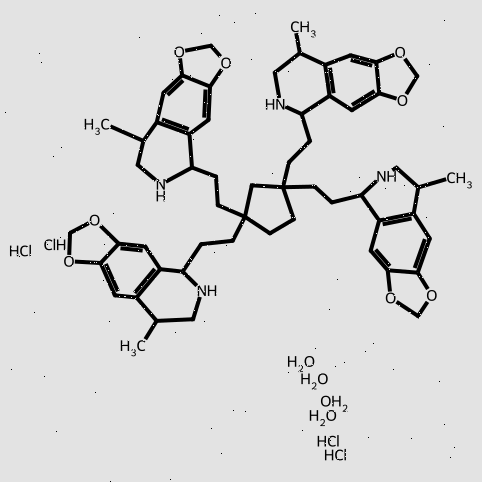 CC1CNC(CCC2(CCC3NCC(C)c4cc5c(cc43)OCO5)CCC(CCC3NCC(C)c4cc5c(cc43)OCO5)(CCC3NCC(C)c4cc5c(cc43)OCO5)C2)c2cc3c(cc21)OCO3.Cl.Cl.Cl.Cl.O.O.O.O